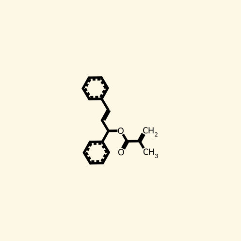 C=C(C)C(=O)OC(C=Cc1ccccc1)c1ccccc1